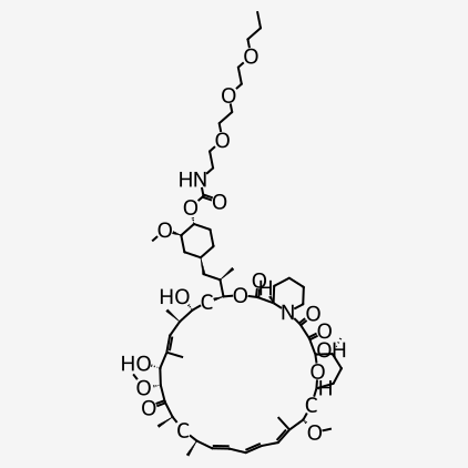 CCCOCCOCCOCCNC(=O)O[C@@H]1CC[C@@H](C[C@@H](C)[C@@H]2C[C@@H](O)[C@H](C)/C=C(\C)[C@@H](O)[C@@H](OC)C(=O)[C@H](C)C[C@H](C)/C=C/C=C/C=C(\C)[C@@H](OC)C[C@@H]3CC[C@@H](C)[C@@](O)(O3)C(=O)C(=O)N3CCCC[C@H]3C(=O)O2)C[C@H]1OC